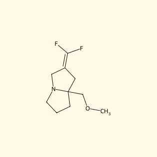 COCC12CCCN1CC(=C(F)F)C2